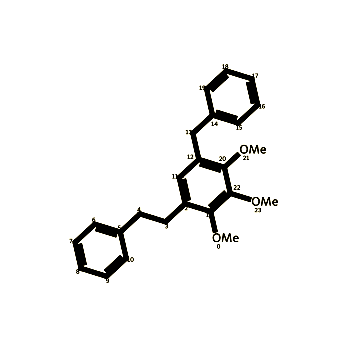 COc1c(CCc2ccccc2)[c]c(Cc2ccccc2)c(OC)c1OC